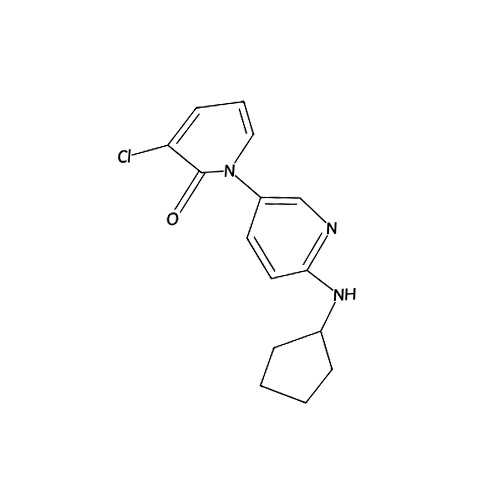 O=c1c(Cl)cccn1-c1ccc(NC2CCCC2)nc1